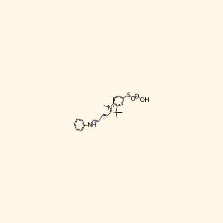 C[N+]1=C(/C=C/C=C/Nc2ccccc2)C(C)(C)c2cc(SOOO)ccc21